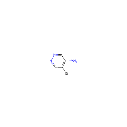 CCc1cnncc1N